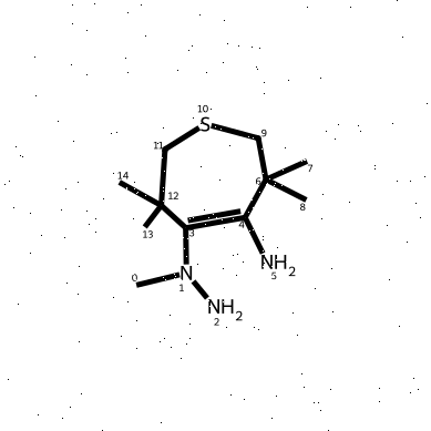 CN(N)C1=C(N)C(C)(C)CSCC1(C)C